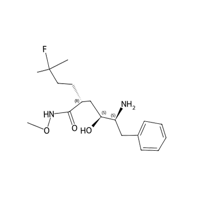 CONC(=O)[C@H](CCC(C)(C)F)C[C@H](O)[C@@H](N)Cc1ccccc1